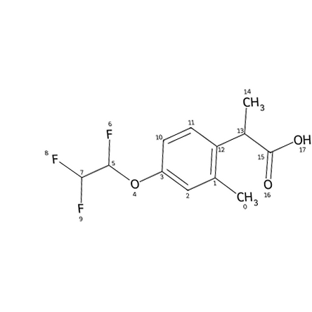 Cc1cc(OC(F)C(F)F)ccc1C(C)C(=O)O